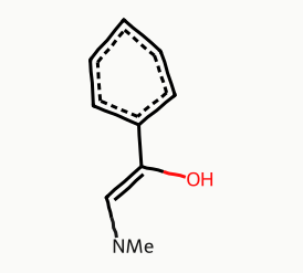 CN/C=C(\O)c1ccccc1